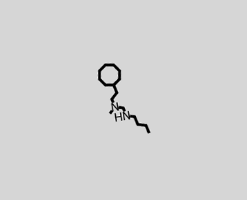 CCCCNCN(C)CCC1CCCCCCC1